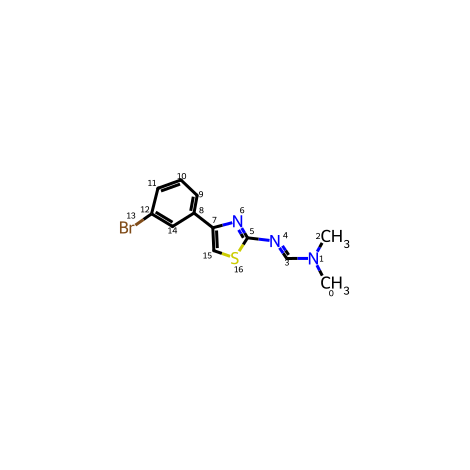 CN(C)C=Nc1nc(-c2cccc(Br)c2)cs1